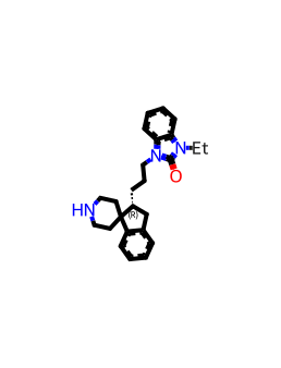 CCn1c(=O)n(CCC[C@@H]2Cc3ccccc3C23CCNCC3)c2ccccc21